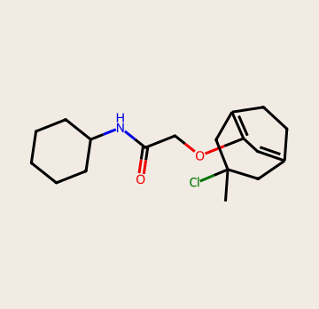 CC1(Cl)CC2=CC(OCC(=O)NC3CCCCC3)=C(CC2)C1